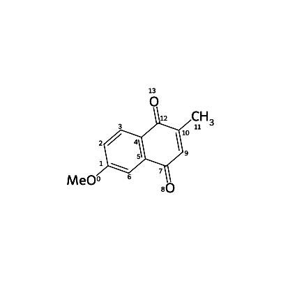 COc1ccc2c(c1)C(=O)C=C(C)C2=O